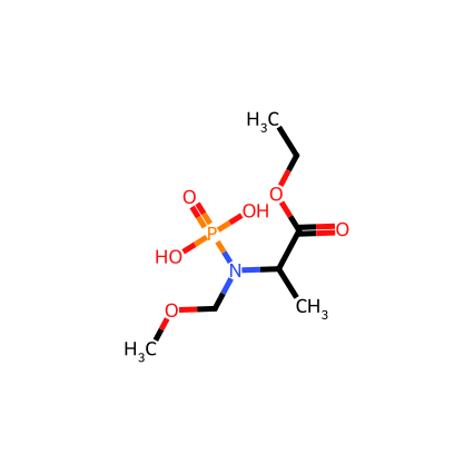 CCOC(=O)C(C)N(COC)P(=O)(O)O